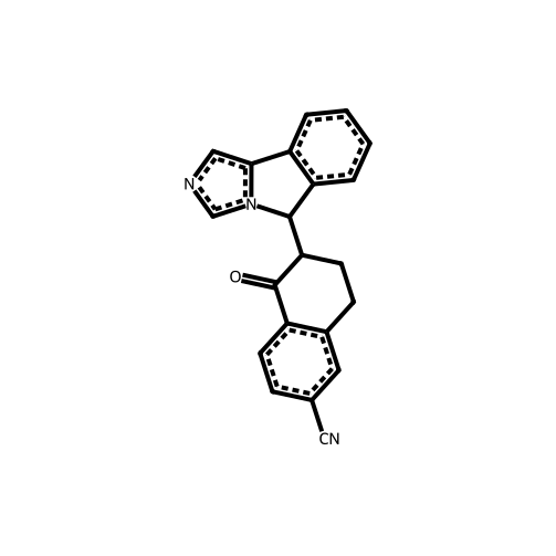 N#Cc1ccc2c(c1)CCC(C1c3ccccc3-c3cncn31)C2=O